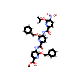 COC(=O)c1ccc(NC(=O)c2ccc(NC(=O)c3ccc([N+](=O)[O-])c(OC(C)C)n3)c(OCc3ccccc3)n2)c(OCc2ccccc2)n1